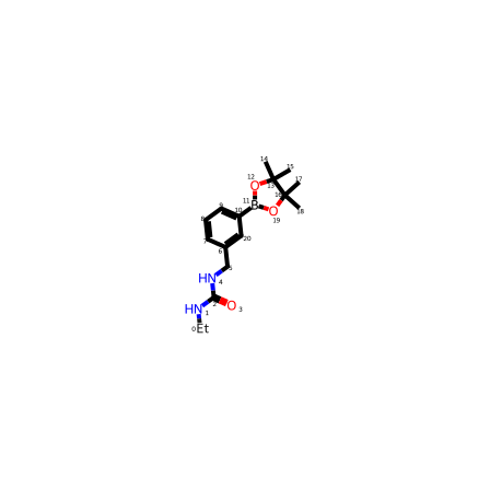 CCNC(=O)NCc1cccc(B2OC(C)(C)C(C)(C)O2)c1